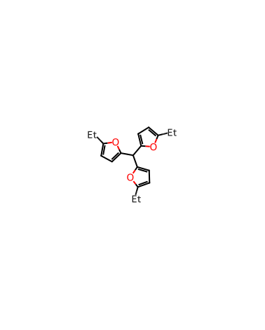 CCc1ccc(C(c2ccc(CC)o2)c2ccc(CC)o2)o1